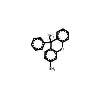 Bc1ccc2c(c1)Oc1ccccc1C2(N)c1ccccc1